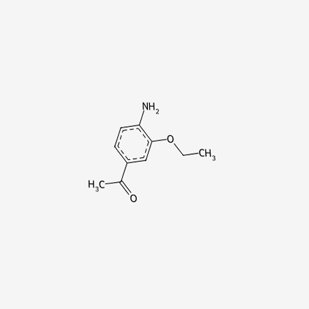 CCOc1cc(C(C)=O)ccc1N